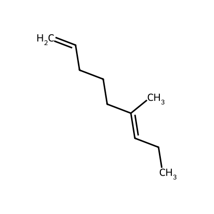 C=CCCC/C(C)=C/CC